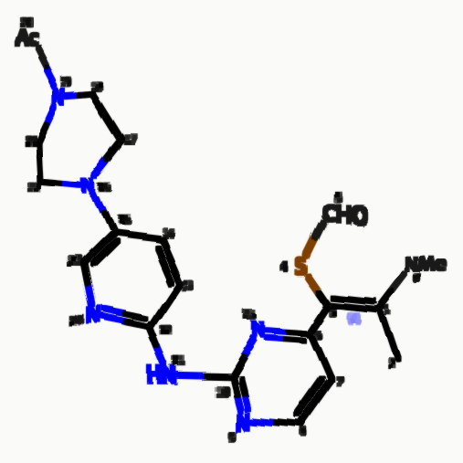 CN/C(C)=C(\SC=O)c1ccnc(Nc2ccc(N3CCN(C(C)=O)CC3)cn2)n1